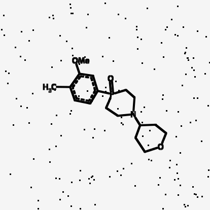 COc1cc(P2(=O)CCN(C3CCOCC3)CC2)ccc1C